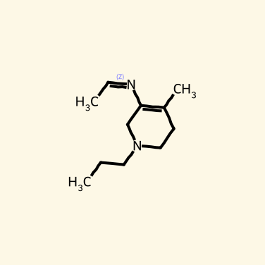 C/C=N\C1=C(C)CCN(CCC)C1